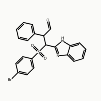 O=CC(c1ccccc1)C(c1nc2ccccc2[nH]1)S(=O)(=O)c1ccc(Br)cc1